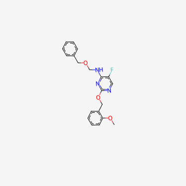 COc1ccccc1COc1ncc(F)c(NCOCc2ccccc2)n1